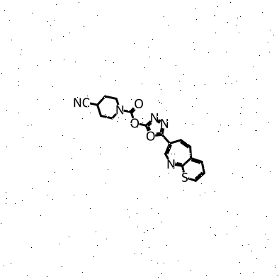 N#CC1CCN(C(=O)Oc2nnc(C3=CN=C4SC=CC=C4C=C3)o2)CC1